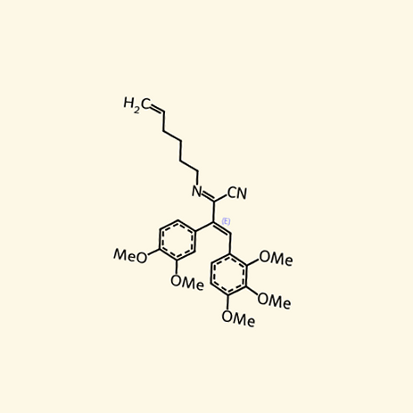 C=CCCCCN=C(C#N)/C(=C/c1ccc(OC)c(OC)c1OC)c1ccc(OC)c(OC)c1